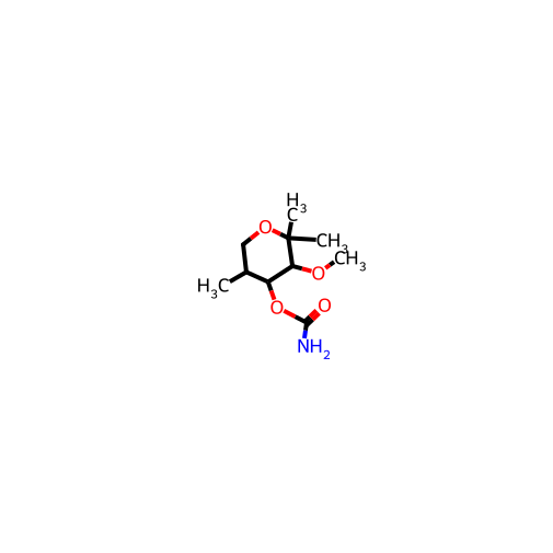 COC1C(OC(N)=O)C(C)COC1(C)C